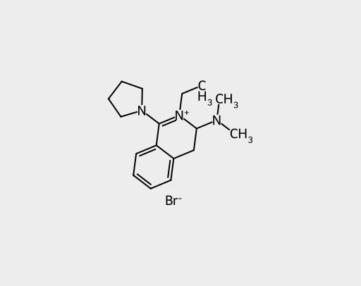 CC[N+]1=C(N2CCCC2)c2ccccc2CC1N(C)C.[Br-]